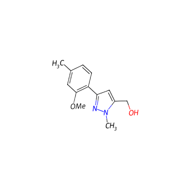 COc1cc(C)ccc1-c1cc(CO)n(C)n1